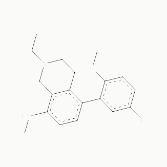 CCN1CCc2c(-c3cc(F)ccc3OC)ccc(NC)c2C1